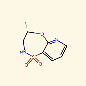 C[C@H]1CNS(=O)(=O)c2cccnc2O1